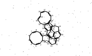 CC1/C=C\C=C/C/C=C\C=C/1c1c2c(c(\C3=C/C=C\C=C/C=C(\C4=C\C=C/C=C\C=C\CC4)CC3)c3ccccc13)C=CCC2